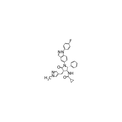 Cn1cc(C[C@H]2C(=O)N(c3ccc4c(cnn4-c4ccc(F)cc4)c3)[C@H](c3ccccc3)[C@H]2NC(=O)C2CC2)cn1